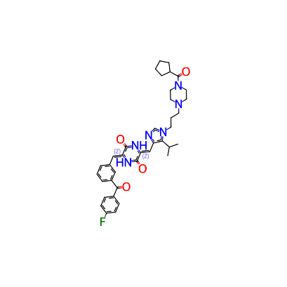 CC(C)c1c(/C=c2\[nH]c(=O)/c(=C/c3cccc(C(=O)c4ccc(F)cc4)c3)[nH]c2=O)ncn1CCCN1CCN(C(=O)C2CCCC2)CC1